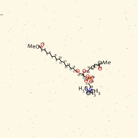 COC(=O)CCCCCCCCCCCCCCCOC[C@H](COP(=O)([O-])OCC[N+](C)(C)C)OCCCCC(=O)OC